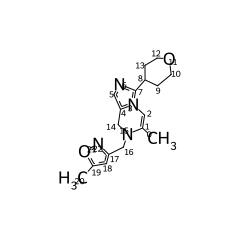 CC1=Cn2c(cnc2C2CCOCC2)CN1Cc1cc(C)on1